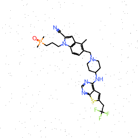 Cc1c(CN2CCC(Nc3ncnc4sc(CC(F)(F)F)cc34)CC2)ccc2c1cc(C#N)n2CCCP(C)(C)=O